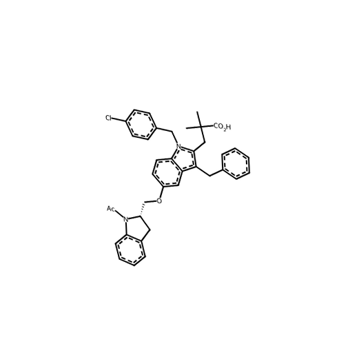 CC(=O)N1c2ccccc2C[C@H]1COc1ccc2c(c1)c(Cc1ccccc1)c(CC(C)(C)C(=O)O)n2Cc1ccc(Cl)cc1